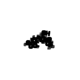 COC(=O)c1ccc(CN2CCN(C(=O)OC(C)(C)C)C[C@H]2CO)cc1OC